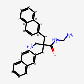 NCNC(=O)C(CN)(Cc1ccc2ccccc2c1)Cc1ccc2ccccc2c1